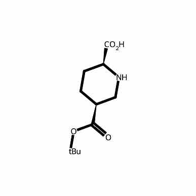 CC(C)(C)OC(=O)[C@H]1CC[C@@H](C(=O)O)NC1